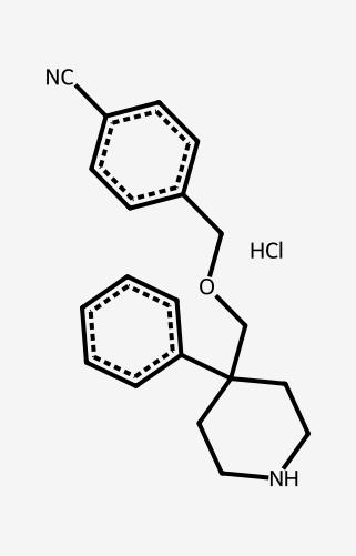 Cl.N#Cc1ccc(COCC2(c3ccccc3)CCNCC2)cc1